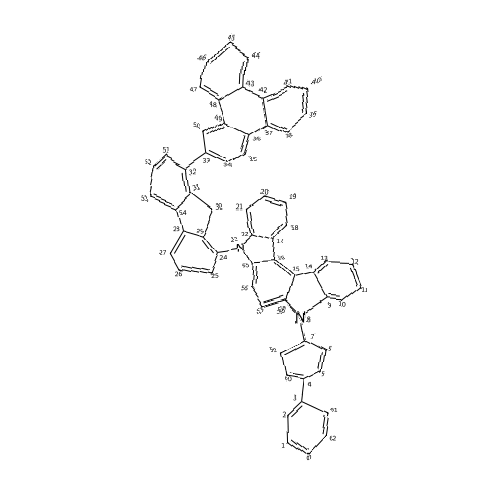 c1ccc(-c2ccc(-n3c4ccccc4c4c5c6ccccc6n(-c6cccc7c6Cc6c(-c8ccc9c%10ccccc%10c%10ccccc%10c9c8)cccc6-7)c5ccc43)cc2)cc1